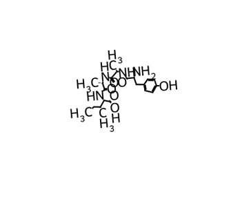 CC[C@H](C)[C@H](NC(=O)[C@H](C)NC(=O)[C@H](C)NC(=O)[C@@H](N)Cc1ccc(O)cc1)C(=O)O